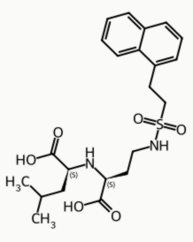 CC(C)C[C@H](N[C@@H](CCNS(=O)(=O)CCc1cccc2ccccc12)C(=O)O)C(=O)O